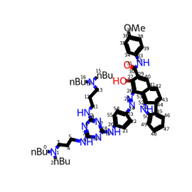 CCCCN(CCCC)CCCNc1nc(NCCCN(CCCC)CCCC)nc(Nc2ccc(N=Nc3c(O)c(C(=O)Nc4ccc(OC)cc4)cc4ccc5c6ccccc6[nH]c5c34)cc2)n1